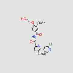 COc1cc(C(=O)NCC(=O)c2ccc(OC)c(-c3ccnc(Cl)c3)n2)ccc1OCCO